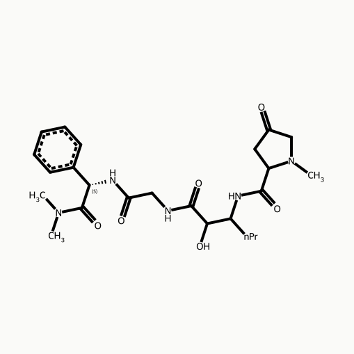 CCCC(NC(=O)C1CC(=O)CN1C)C(O)C(=O)NCC(=O)N[C@H](C(=O)N(C)C)c1ccccc1